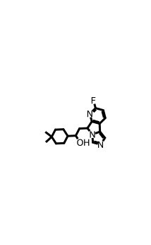 CC1(C)CCC(C(O)CC2c3nc(F)ccc3-c3cncn32)CC1